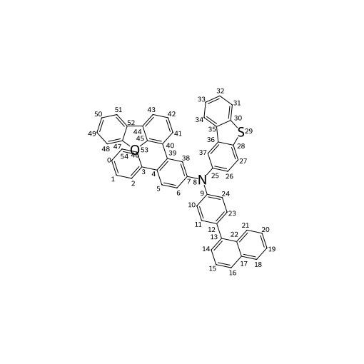 c1ccc(-c2ccc(N(c3ccc(-c4cccc5ccccc45)cc3)c3ccc4sc5ccccc5c4c3)cc2-c2cccc3c2oc2ccccc23)cc1